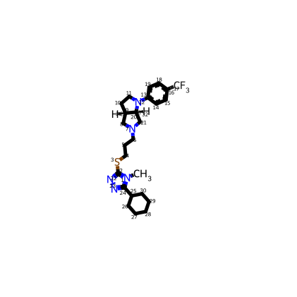 Cn1c(SCCCN2C[C@@H]3CCN(c4ccc(C(F)(F)F)cc4)[C@@H]3C2)nnc1C1CCCCC1